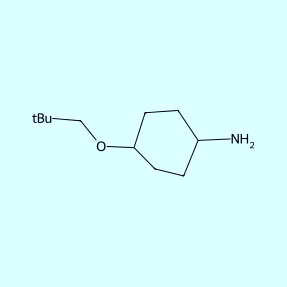 CC(C)(C)COC1CCC(N)CC1